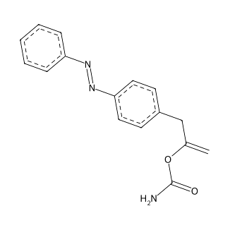 C=C(Cc1ccc(N=Nc2ccccc2)cc1)OC(N)=O